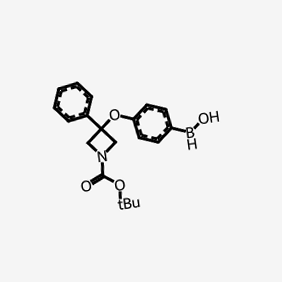 CC(C)(C)OC(=O)N1CC(Oc2ccc(BO)cc2)(c2ccccc2)C1